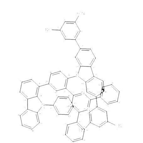 N#Cc1cc(C#N)cc(-c2ccc3c4ccc(-c5cc(C#N)cc(C#N)c5)cc4n(-c4ccc(-c5cccc6c7ccccc7n(-c7ccccc7)c56)cc4-c4nc(-c5ccccc5)nc(-c5ccccc5)n4)c3c2)c1